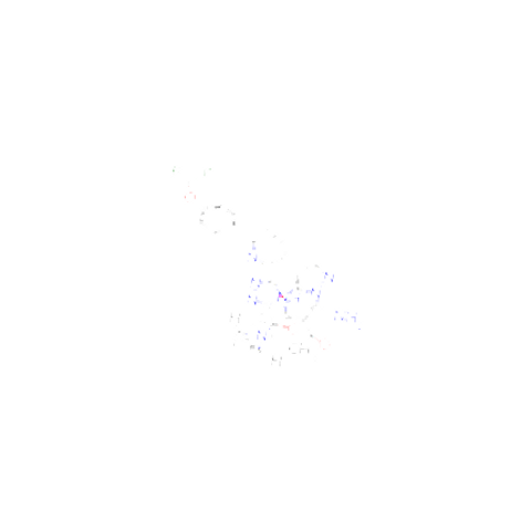 CC(=O)c1c([C@@H]2C[C@H]3CC[C@@H](C2)N3C(=O)c2nnc[nH]2)nc2c(-c3ccc(-c4ccc(OC(F)F)cc4)nc3)cnn2c1N